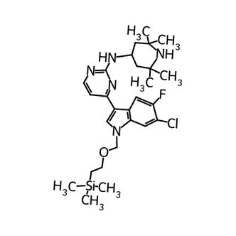 CC1(C)CC(Nc2nccc(-c3cn(COCC[Si](C)(C)C)c4cc(Cl)c(F)cc34)n2)CC(C)(C)N1